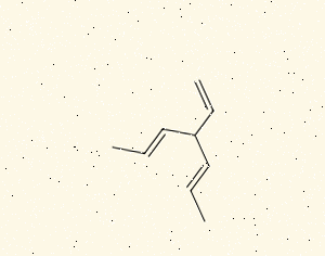 C=CC(C=CC)C=CC